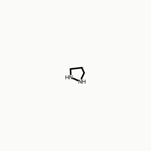 [CH]1CNNC1